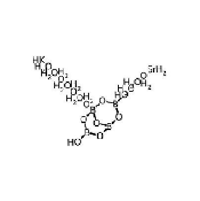 O.O.O.O.O.O.O.O.O.O.OB1OB2OB(O)OB(O1)O2.[KH].[SrH2]